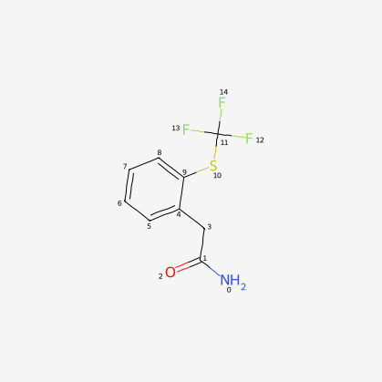 NC(=O)Cc1ccccc1SC(F)(F)F